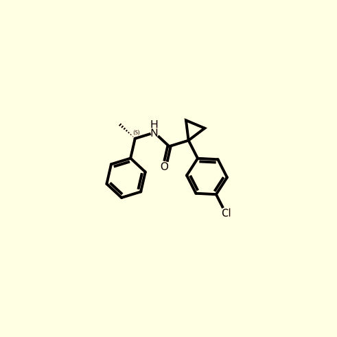 C[C@H](NC(=O)C1(c2ccc(Cl)cc2)CC1)c1ccccc1